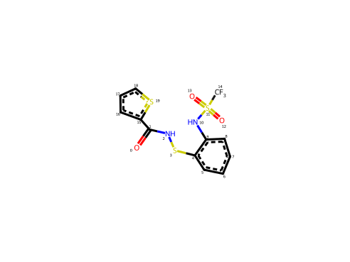 O=C(NSc1ccccc1NS(=O)(=O)C(F)(F)F)c1cccs1